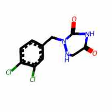 O=C1CNN(Cc2ccc(Cl)c(Cl)c2)C(=O)N1